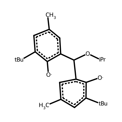 Cc1cc(C(OC(C)C)c2cc(C)cc(C(C)(C)C)c2[O])c([O])c(C(C)(C)C)c1